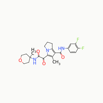 Cc1c(C(=O)Nc2ccc(F)c(F)c2)c2n(c1C(=O)C(=O)NC1(C)CCOCC1)CCC2